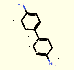 NC1=CCC(C2=CC=C(N)CC2)=CC1